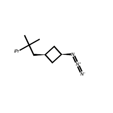 CC(C)C(C)(C)C[C@H]1C[C@@H](N=[N+]=[N-])C1